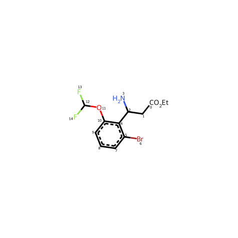 CCOC(=O)CC(N)c1c(Br)cccc1OC(F)F